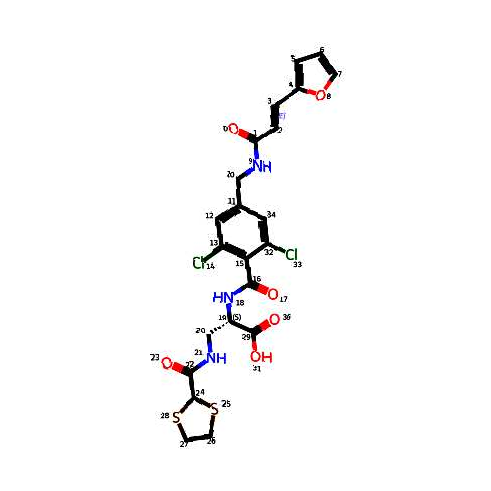 O=C(/C=C/c1ccco1)NCc1cc(Cl)c(C(=O)N[C@@H](CNC(=O)C2SCCS2)C(=O)O)c(Cl)c1